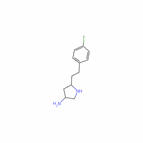 NC1CNC(CCc2ccc(F)cc2)C1